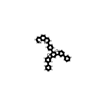 c1ccc(-c2ccc3oc4c(-c5ccc(-c6ccc7ccc8cccnc8c7n6)cc5)c5oc6ccc(-c7ccccc7)cc6c5cc4c3c2)cc1